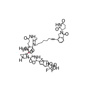 CCCC[C@H](NC(=O)c1cc2cc(C(F)(F)P(=O)(O)O)ccc2s1)C(=O)N1C[C@H]2CC2[C@H]1C(=O)N[C@@H](CCC(N)=O)C(=O)NCCCCCCC#Cc1cccc2c1CN(C1CCC(=O)NC1=O)C2=O